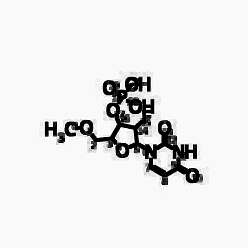 COCC1OC(n2ccc(=O)[nH]c2=O)C(F)C1OP(=O)(O)O